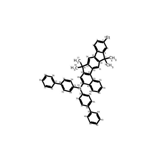 CCc1ccc2c(c1)C(C)(C)c1cc3c(cc1-2)C(C)(C)c1cc(N(c2ccc(-c4ccccc4)cc2)c2ccc(-c4ccccc4)cc2)c2ccccc2c1-3